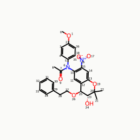 COc1ccc(N(C(C)=O)c2cc3c(cc2[N+](=O)[O-])OC(C)(C)[C@H](O)[C@H]3OCCc2ccccc2)cc1